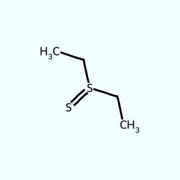 CCS(=S)CC